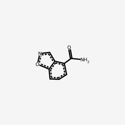 NC(=O)c1cccc2oncc12